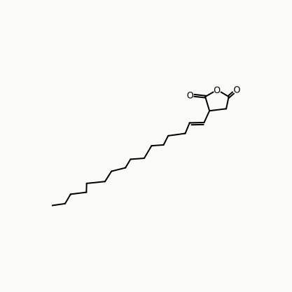 CCCCCCCCCCCCCC/C=C/C1CC(=O)OC1=O